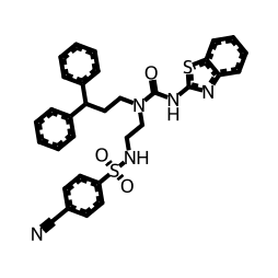 N#Cc1ccc(S(=O)(=O)NCCN(CCC(c2ccccc2)c2ccccc2)C(=O)Nc2nc3ccccc3s2)cc1